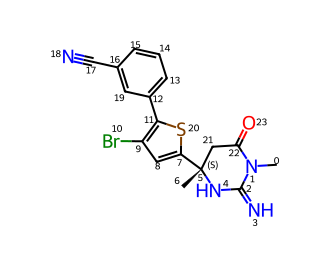 CN1C(=N)N[C@](C)(c2cc(Br)c(-c3cccc(C#N)c3)s2)CC1=O